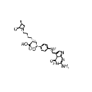 C[C@H]1CN(CCCC[C@H](CC(=O)c2ccc(NCC3=CN=C4N=C(N)NC(=O)C34)cc2)C(=O)O)C1=O